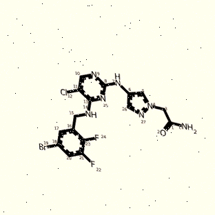 NC(=O)Cn1cc(Nc2ncc(Cl)c(NCc3cc(Br)cc(F)c3F)n2)cn1